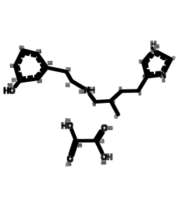 CC(CCc1c[nH]cn1)CNCCc1cccc(O)c1.O=C(O)C(=O)O